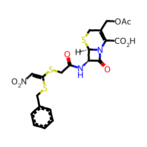 CC(=O)OCC1=C(C(=O)O)N2C(=O)[C@@H](NC(=O)CSC(=C[N+](=O)[O-])SCc3ccccc3)[C@H]2SC1